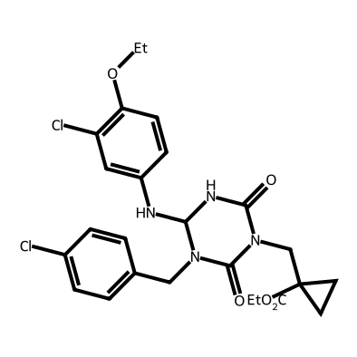 CCOC(=O)C1(CN2C(=O)NC(Nc3ccc(OCC)c(Cl)c3)N(Cc3ccc(Cl)cc3)C2=O)CC1